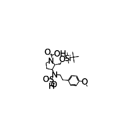 COc1ccc(CCN([C@H]2CCN(C(=O)O)[C@H]2CO[Si](C)(C)C(C)(C)C)[SH](=O)=O)cc1